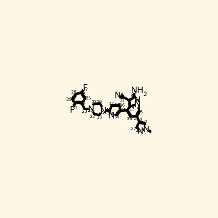 Cn1cc(C2=CN3N=C(N)C(C#N)C3C(c3ccc(N4CCN(Cc5cc(F)ccc5F)CC4)nc3)=C2)cn1